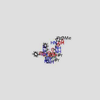 COC(=O)CC(O)C(CC(C)C)NC(=O)CNC(=O)NC(=O)[C@@H](C[C@H](O)[C@H](CC(C)C)NC(=O)[C@H](Cc1c[nH]cn1)NC(=O)[C@H](Cc1ccccc1)NC(=O)OCc1ccccc1)C(C)C